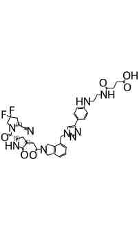 N#C[C@@H]1CC(F)(F)CN1C(=O)[C@@H]1C[C@@H](CC(=O)N2Cc3cccc(Cn4cc(-c5ccc(NCCNC(=O)CCC(=O)O)cc5)nn4)c3C2)C(=O)N1